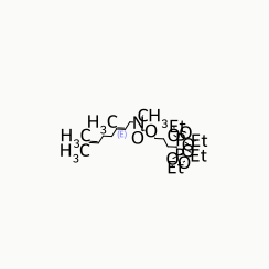 CCOP(=O)(OCC)C(CCCOC(=O)N(C)C/C=C(\C)CCC=C(C)C)P(=O)(OCC)OCC